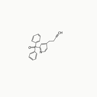 C#CCCc1ccnc(P(=O)(c2ccccc2)c2ccccc2)c1